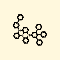 c1ccc(-c2cccc(N3c4ccccc4B4c5ccccc5N(c5cc(-c6ccccc6)c(-c6ccccc6)c(-c6ccccc6)c5)c5cccc3c54)c2)cc1